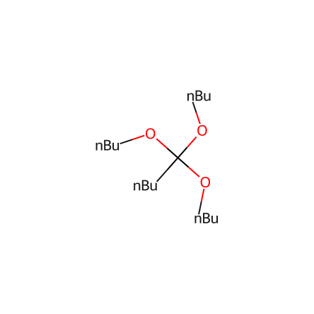 CCCCOC(CCCC)(OCCCC)OCCCC